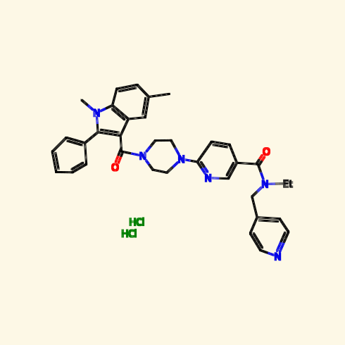 CCN(Cc1ccncc1)C(=O)c1ccc(N2CCN(C(=O)c3c(-c4ccccc4)n(C)c4ccc(C)cc34)CC2)nc1.Cl.Cl